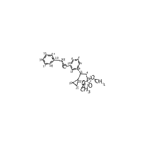 COP(=O)(CC(c1cccc(OCc2ccccc2)c1)C1CC1)OC